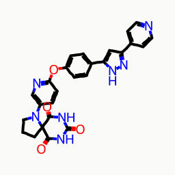 O=C1NC(=O)C2(CCCN2c2ccc(Oc3ccc(-c4cc(-c5ccncc5)n[nH]4)cc3)nc2)C(=O)N1